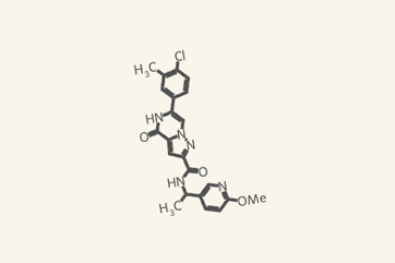 COc1ccc(C(C)NC(=O)c2cc3c(=O)[nH]c(-c4ccc(Cl)c(C)c4)cn3n2)cn1